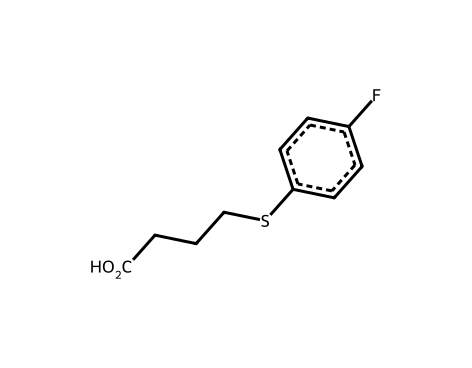 O=C(O)CCCSc1ccc(F)cc1